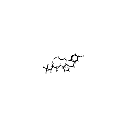 COCCOc1ccc(Cl)cc1CN1CC[C@@H](CNC(=O)OC(C)(C)C)C1